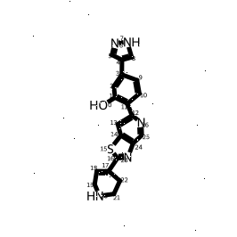 Oc1cc(-c2cn[nH]c2)ccc1-c1cc2sc(C3=CCNCC3)nc2cn1